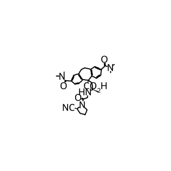 C[C@H](CC1(C(=O)O)c2ccc(C(=O)N(C)C)cc2CCc2cc(C(=O)N(C)C)ccc21)NCC(=O)N1CCC[C@H]1C#N